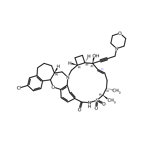 C[C@@H]1[C@@H](C)C/C=C/[C@@](O)(C#CCN2CCOCC2)[C@@H]2CC[C@H]2CN2C[C@H]3CCCc4cc(Cl)ccc4C3Oc3ccc(cc32)C(=O)NS1(=O)=O